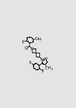 Cc1cnn(C2CC3(C2)CN(C(=O)c2cc(O)ccc2F)C3)c1-c1cc(F)ccc1F